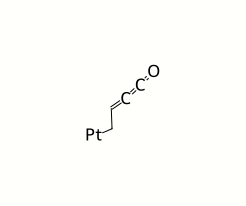 O=C=C=C[CH2][Pt]